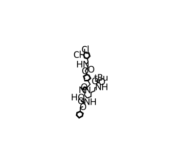 CC(C)(C)OC(=O)NCCCCC(NC(=O)OCc1ccccc1)C(O)c1noc(Cc2ccc(OC(=O)NCc3ccc(Cl)c(Cl)c3)cc2)n1